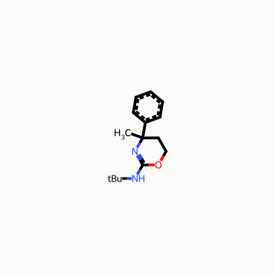 CC(C)(C)NC1=NC(C)(c2ccccc2)CCO1